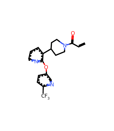 C=CC(=O)N1CCC(c2cccnc2Oc2ccc(C(F)(F)F)nc2)CC1